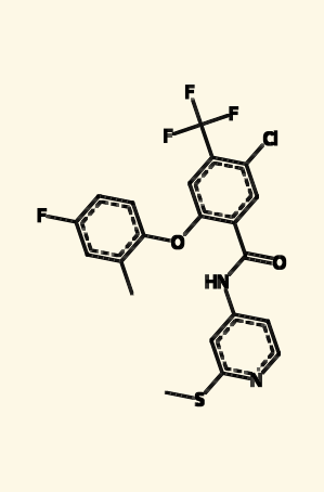 CSc1cc(NC(=O)c2cc(Cl)c(C(F)(F)F)cc2Oc2ccc(F)cc2C)ccn1